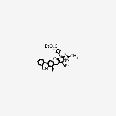 CCCc1c(Cc2ccc(-c3ccccc3C#N)cc2F)c(=O)n([C@H]2C[C@@H](C(=O)OCC)C2)c2nc(C)nn12